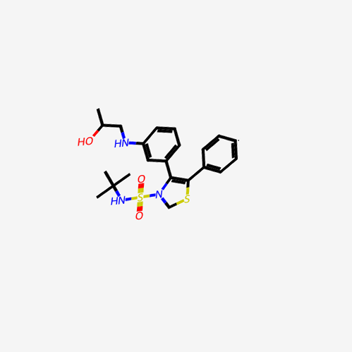 CC(O)CNc1cccc(C2=C(c3cc[c]cc3)SCN2S(=O)(=O)NC(C)(C)C)c1